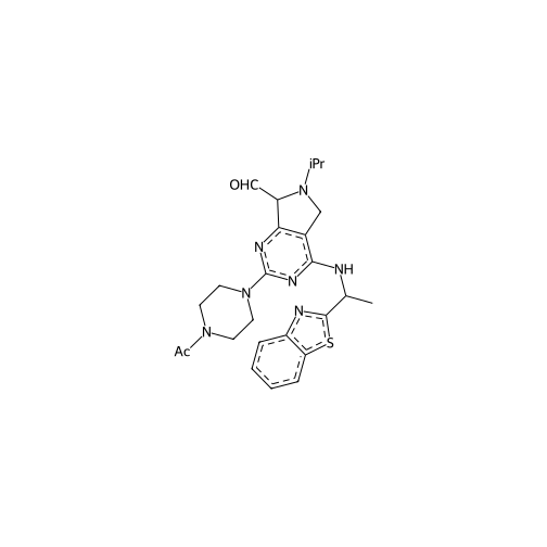 CC(=O)N1CCN(c2nc(NC(C)c3nc4ccccc4s3)c3c(n2)C(C=O)N(C(C)C)C3)CC1